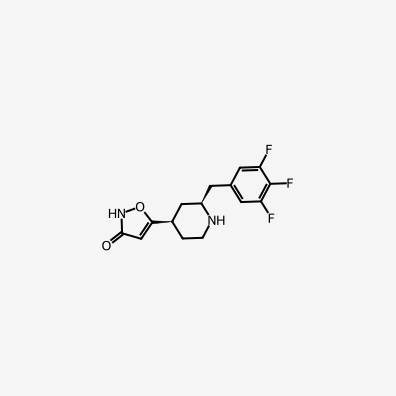 O=c1cc([C@@H]2CCN[C@H](Cc3cc(F)c(F)c(F)c3)C2)o[nH]1